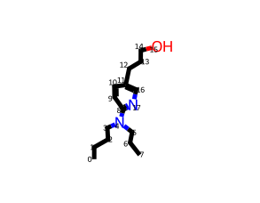 CCCCN(CCC)c1ccc(CCCO)cn1